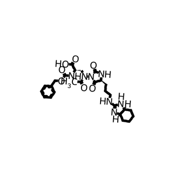 CC(=O)N(C[C@H](NC(=O)OCc1ccccc1)C(=O)O)N1C(=O)N[C@@H](CCCNC2=N[C@@H]3CCCC[C@@H]3N2)C1=O